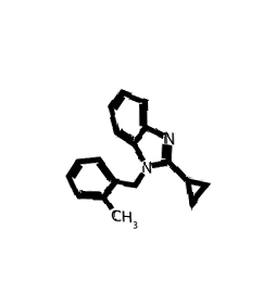 Cc1ccccc1Cn1c(C2CC2)nc2ccccc21